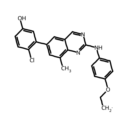 [CH2]COc1ccc(Nc2ncc3cc(-c4cc(O)ccc4Cl)cc(C)c3n2)cc1